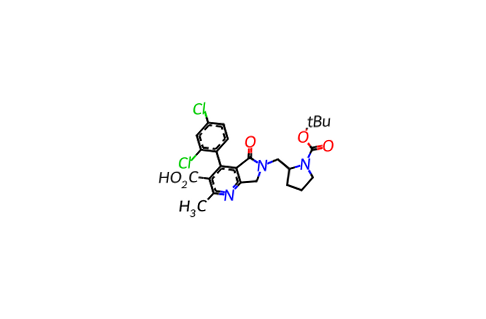 Cc1nc2c(c(-c3ccc(Cl)cc3Cl)c1C(=O)O)C(=O)N(CC1CCCN1C(=O)OC(C)(C)C)C2